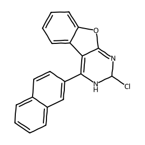 ClC1N=c2oc3ccccc3c2=C(c2ccc3ccccc3c2)N1